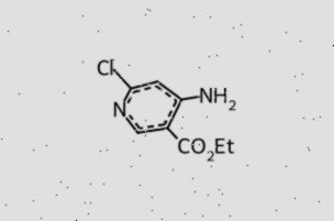 CCOC(=O)c1cnc(Cl)cc1N